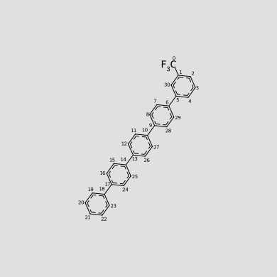 FC(F)(F)c1cccc(-c2ccc(-c3ccc(-c4ccc(-c5ccccc5)cc4)cc3)cc2)c1